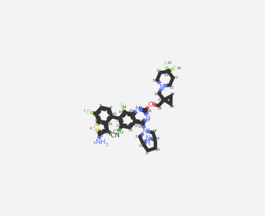 N#Cc1c(N)sc2c(F)ccc(-c3c(Cl)cc4c(N5CC6CCC(C5)N6)nc(OCC5(CN6CCC(F)(F)CC6)CC5)nc4c3F)c12